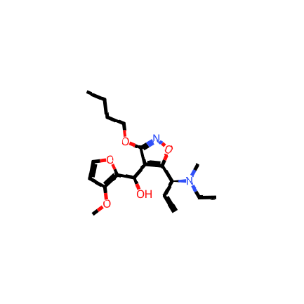 C=C[C@@H](c1onc(OCCCC)c1C(O)c1occc1OC)N(C)CC